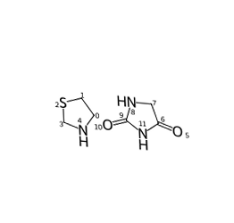 C1CSCN1.O=C1CNC(=O)N1